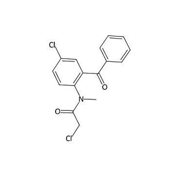 CN(C(=O)CCl)c1ccc(Cl)cc1C(=O)c1ccccc1